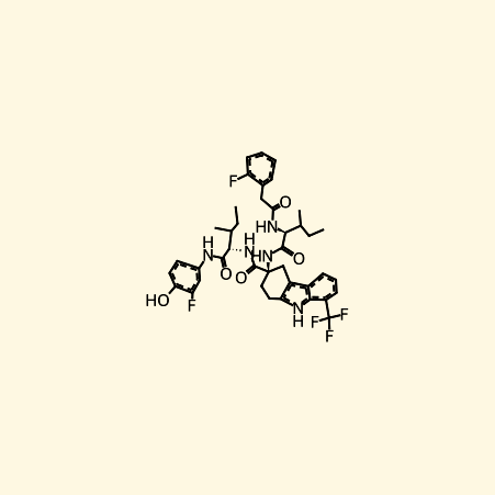 CCC(C)[C@H](NC(=O)Cc1ccccc1F)C(=O)N[C@]1(C(=O)N[C@H](C(=O)Nc2ccc(O)c(F)c2)C(C)CC)CCc2[nH]c3c(C(F)(F)F)cccc3c2C1